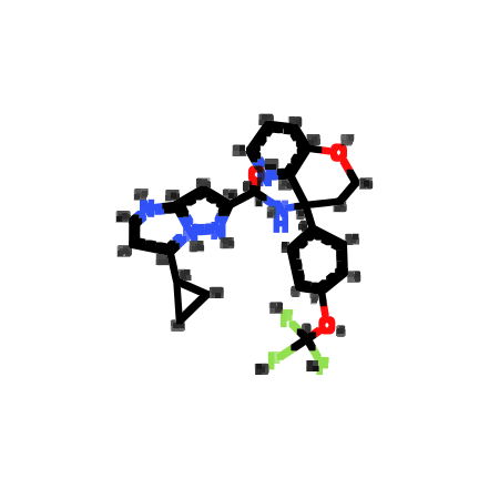 O=C(NC1(c2ccc(OC(F)(F)F)cc2)CCOc2cccnc21)c1cc2nccc(C3CC3)n2n1